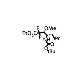 CCOC(=O)C(F)(F)[C@H](OC)[C@H](CC(C)C)NC(=O)OC(C)(C)C